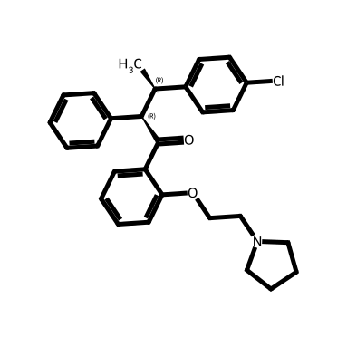 C[C@@H](c1ccc(Cl)cc1)[C@@H](C(=O)c1ccccc1OCCN1CCCC1)c1ccccc1